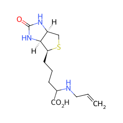 C=CCNC(CCC[C@@H]1SC[C@@H]2NC(=O)N[C@@H]21)C(=O)O